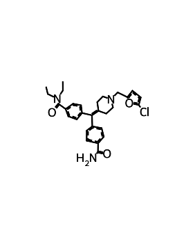 CCN(CC)C(=O)c1ccc(C(=C2CCN(Cc3ccc(Cl)o3)CC2)c2ccc(C(N)=O)cc2)cc1